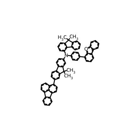 CC1(C)c2cc(-c3ccc4c5c(cccc35)-c3ccccc3-4)ccc2-c2ccc(N(c3ccc(-c4cccc5c4oc4ccccc45)cc3)c3cccc4c3-c3ccccc3C4(C)C)cc21